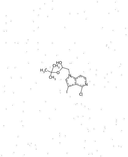 CC(C)(C)OC(O)Cn1cc(I)c2c(Cl)nccc21